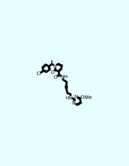 COc1ccnc(NCCC#CCCNC(=O)c2cccn([C@H](C)c3ccc(Cl)cc3)c2=O)n1